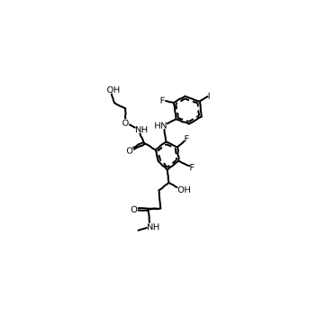 CNC(=O)CCC(O)c1cc(C(=O)NOCCO)c(Nc2ccc(I)cc2F)c(F)c1F